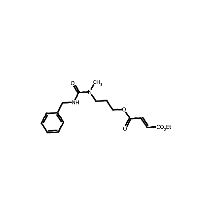 CCOC(=O)/C=C/C(=O)OCCCN(C)C(=O)NCc1ccccc1